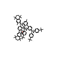 Cc1cc2c3c(c1)N(c1cc4c(cc1C)C(C)(C)CCC4(C)C)c1ccc4c(oc5cc6c(cc54)C(C)(C)CCC6(C)C)c1B3N(c1ccc(C(C)(C)C)cc1)c1cc(N(c3ccc(C(C)(C)C)cc3)c3ccc(C(C)(C)C)cc3)ccc1-2